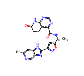 CC(C)c1cc2[nH]c(-c3cc([C@@H](C)NC(=O)c4ncnc5c4CCC(=O)N5)on3)nc2cn1